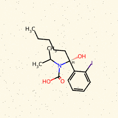 CCCCC[C@@](O)(c1ccccc1I)N(C(=O)O)C(C)C